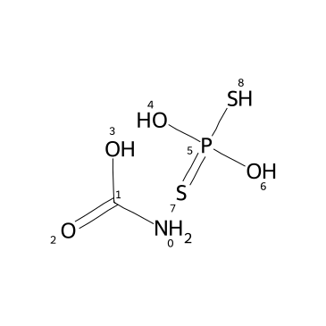 NC(=O)O.OP(O)(=S)S